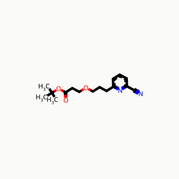 CC(C)(C)OC(=O)CCOCCCc1cccc(C#N)n1